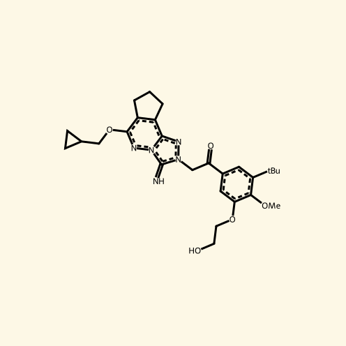 COc1c(OCCO)cc(C(=O)Cn2nc3c4c(c(OCC5CC5)nn3c2=N)CCC4)cc1C(C)(C)C